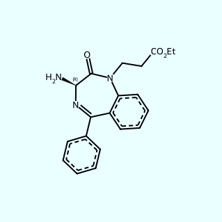 CCOC(=O)CCN1C(=O)[C@H](N)N=C(c2ccccc2)c2ccccc21